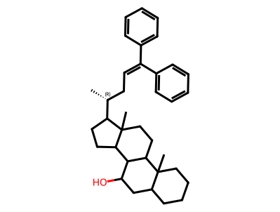 C[C@H](CC=C(c1ccccc1)c1ccccc1)C1CCC2C3C(O)CC4CCCCC4(C)C3CCC21C